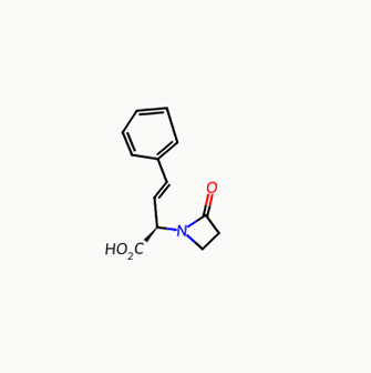 O=C(O)[C@@H](C=Cc1ccccc1)N1CCC1=O